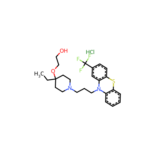 CCC1(OCCO)CCN(CCCN2c3ccccc3Sc3ccc(C(F)(F)F)cc32)CC1.Cl